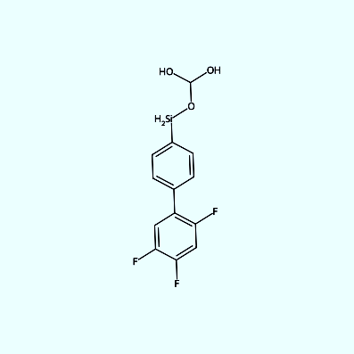 OC(O)O[SiH2]c1ccc(-c2cc(F)c(F)cc2F)cc1